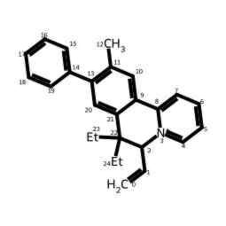 C=CC1[n+]2ccccc2-c2cc(C)c(-c3ccccc3)cc2C1(CC)CC